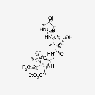 CCOC(=O)CC(NC(=O)CNC(=O)c1cc(O)cc(NC2=NCC(O)CN2)c1)c1cc(C(F)(F)F)cc(C(F)(F)F)c1